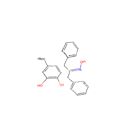 CCCCCCCCCc1ccc(O)c(O)c1.ON=C(Cc1ccccc1)Cc1ccccc1